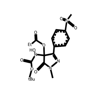 CCC(=O)OC1(N(O)C(=O)OC(C)(C)C)C(=O)N(C)N=C1c1ccc(S(C)(=O)=O)cc1